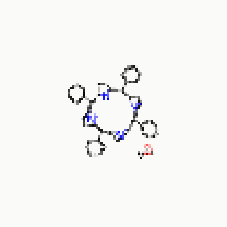 C1=Cc2nc1c(-c1ccccc1)c1ccc([n-]1)c(-c1ccccc1)c1nc(c(-c3ccccc3)c3ccc([n-]3)c2-c2ccccc2)C=C1.[O]=[V+2]